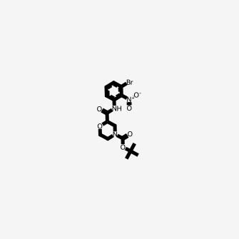 CC(C)(C)OC(=O)N1CCOC(C(=O)Nc2cccc(Br)c2[N+](=O)[O-])C1